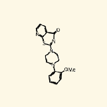 COc1ccccc1N1CCN(c2nc(=O)c3cccnc3s2)CC1